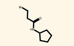 O=C(CCBr)NC1CCCC1